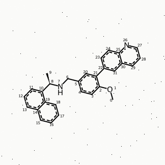 COc1ccc(CN[C@H](C)c2cccc3ccccc23)cc1-c1ccc2ncccc2c1